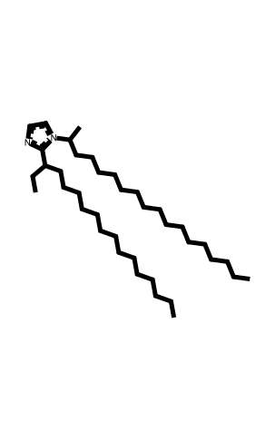 CCCCCCCCCCCCCCCCC(C)n1ccnc1C(CC)CCCCCCCCCCCCCC